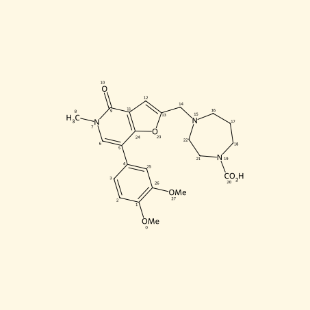 COc1ccc(-c2cn(C)c(=O)c3cc(CN4CCCN(C(=O)O)CC4)oc23)cc1OC